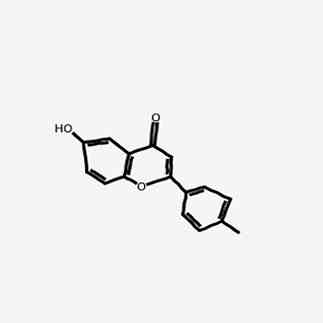 Cc1ccc(-c2cc(=O)c3cc(O)ccc3o2)cc1